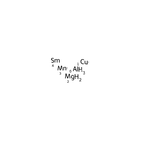 [AlH3].[Cu].[MgH2].[Mn].[Sm]